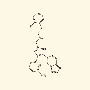 Cc1cccc(-c2nc(CN(I)CCc3ccccc3F)[nH]c2-c2ccc3ncnn3c2)n1